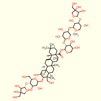 C[C@@H]1O[C@@H](O[C@H]2[C@H](OC(=O)[C@]34CCC(C)(C)C[C@H]3C3=CC[C@@H]5[C@@]6(C)C[C@H](O)[C@H](O[C@@H]7O[C@H](CO)[C@@H](O[C@@H]8OC[C@](O)(CO)[C@H]8O)[C@H](O)[C@H]7O)[C@@](C)(CO)[C@@H]6CC[C@@]5(C)[C@]3(C)CC4)OC[C@H](O)[C@@H]2O)[C@H](O)[C@H](O)[C@H]1O[C@@H]1OC[C@@H](O)[C@H](O[C@@H]2OC[C@](O)(CO)[C@H]2O)[C@H]1O